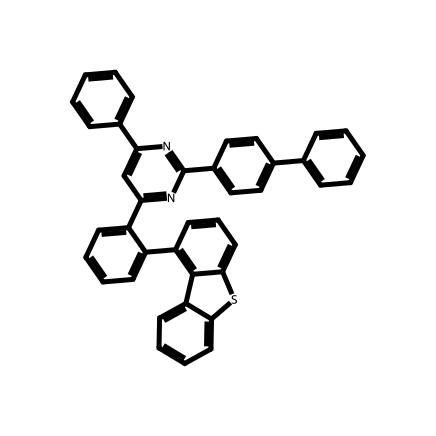 c1ccc(-c2ccc(-c3nc(-c4ccccc4)cc(-c4ccccc4-c4cccc5sc6ccccc6c45)n3)cc2)cc1